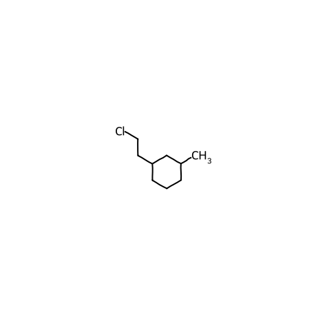 CC1CCCC(CCCl)C1